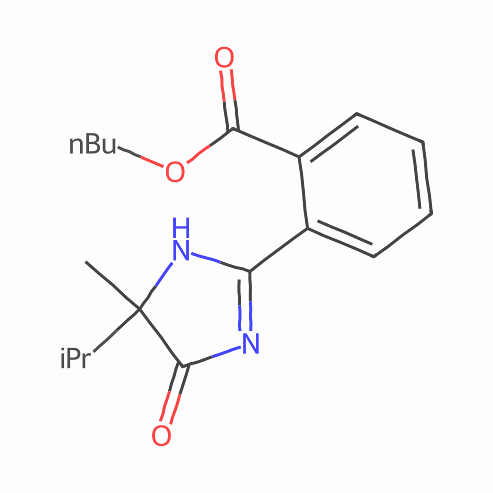 CCCCOC(=O)c1ccccc1C1=NC(=O)C(C)(C(C)C)N1